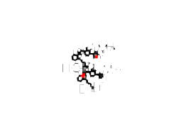 CCN(CC)CC=Cc1ccccc1S(=O)(=O)Cc1ccc(-c2ccoc2)c(OC)c1C(=O)O.CCN(CC)CC=Cc1ccccc1S(=O)(=O)Cc1ccc(-c2ccoc2)c(OC)c1C(=O)O